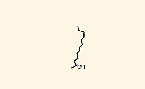 CC/C=C\CCCCCCCC(C)O